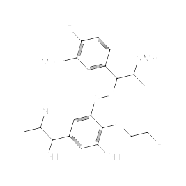 CNC(C)C(OOc1cc(C(O)C(C)N)cc(O)c1OCCF)c1ccc(F)c(OC)c1